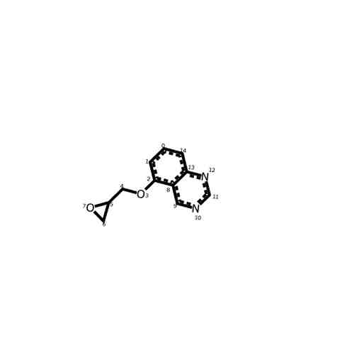 c1cc(OCC2CO2)c2cncnc2c1